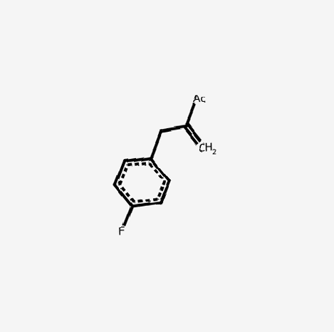 C=C(Cc1ccc(F)cc1)C(C)=O